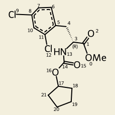 COC(=O)[C@@H](Cc1ccc(Cl)cc1Cl)NC(=O)OC1CCCC1